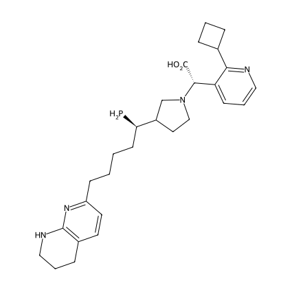 O=C(O)[C@H](c1cccnc1C1CCC1)N1CCC([C@H](P)CCCCc2ccc3c(n2)NCCC3)C1